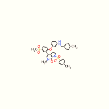 Cc1ccc(CNc2cccc(Oc3ccc(S(C)(=O)=O)cc3-c3cn(C)c(=O)c4c3ccn4S(=O)(=O)c3ccc(C)cc3)c2)cc1